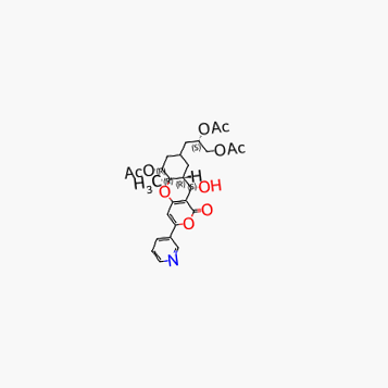 CC(=O)OC[C@H](CC1C[C@@H]2[C@H](O)c3c(cc(-c4cccnc4)oc3=O)O[C@@]2(C)[C@H](OC(C)=O)C1)OC(C)=O